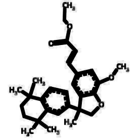 CCOC(=O)/C=C/c1cc(OC)c2c(c1)C(C)(c1ccc3c(c1)C(C)(C)CCC3(C)C)CO2